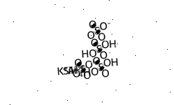 O=S(=O)(O)O.O=S(=O)(O)O.O=S(=O)([O-])[O-].O=S(=O)([O-])[O-].[Al+3].[K+].[SiH4]